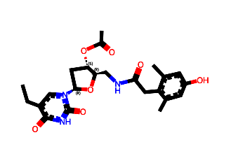 CCc1cn([C@H]2C[C@H](OC(C)=O)[C@@H](CNC(=O)Cc3c(C)cc(O)cc3C)O2)c(=O)[nH]c1=O